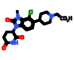 Cn1c(=O)n(C2CCC(=O)NC2=O)c2ccc(C3CCN(CC(=O)O)CC3)c(Cl)c21